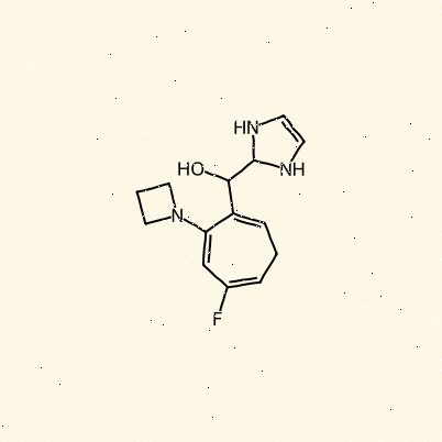 OC(C1=CCC=C(F)C=C1N1CCC1)C1NC=CN1